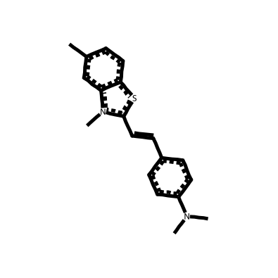 Cc1ccc2sc(/C=C/c3ccc(N(C)C)cc3)[n+](C)c2c1